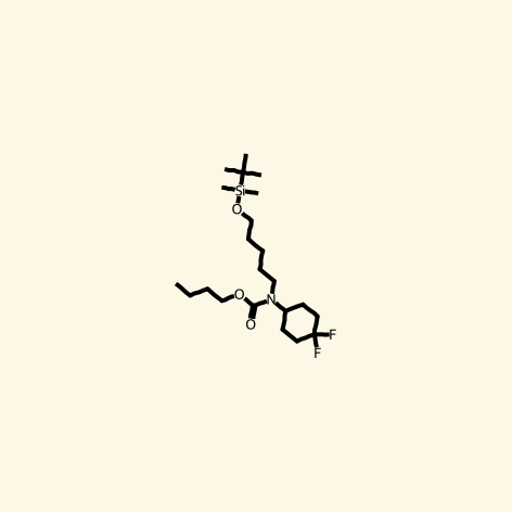 CCCCOC(=O)N(CCCCCO[Si](C)(C)C(C)(C)C)C1CCC(F)(F)CC1